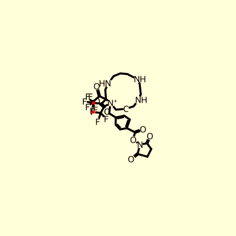 O=C(ON1C(=O)CCC1=O)c1ccc(C[N+]2(C(=O)C(F)(F)F)CCCNCCNCCCNCC2(C(=O)C(F)(F)F)C(=O)C(F)(F)F)cc1